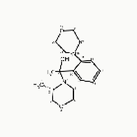 C[C@H]1COCCN1C(C)(O)c1ccccc1N1CCOCC1